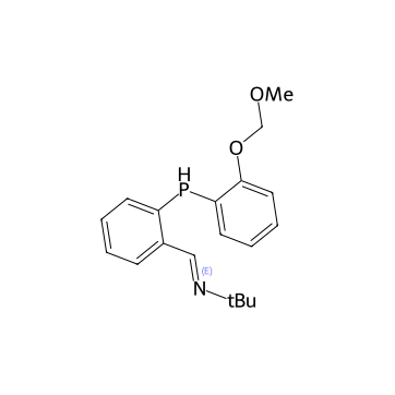 COCOc1ccccc1Pc1ccccc1/C=N/C(C)(C)C